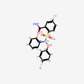 [NH]C(=O)c1cc(F)ccc1S(=O)(=O)N(Oc1ccc(F)cc1)c1ccccc1